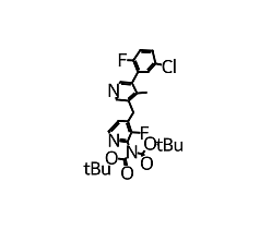 Cc1c(Cc2ccnc(N(C(=O)OC(C)(C)C)C(=O)OC(C)(C)C)c2F)cncc1-c1cc(Cl)ccc1F